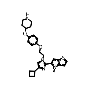 Cn1c(-c2nc(C3CCC3)cn2CCOc2ccc(OC3CCNCC3)cc2)cc2sccc21